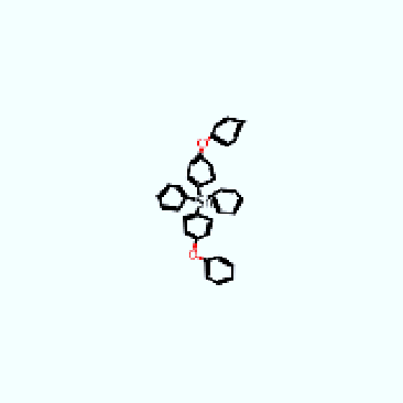 c1ccc(Oc2cc[c]([Sn]([c]3ccccc3)([c]3ccccc3)[c]3ccc(Oc4ccccc4)cc3)cc2)cc1